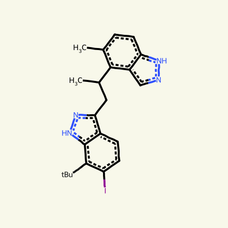 Cc1ccc2[nH]ncc2c1C(C)Cc1n[nH]c2c(C(C)(C)C)c(I)ccc12